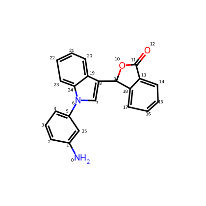 Nc1cccc(-n2cc(C3OC(=O)c4ccccc43)c3ccccc32)c1